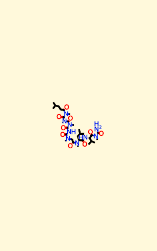 CC(C)CCC(=O)N(C)C(=O)N(C)C(=O)N(C)C(=O)NC(=O)N(C)CC(=O)N(C)[C@@H](CC(C)C)C(=O)N[C@H](C(=O)N(C)C(N)=O)C(C)C